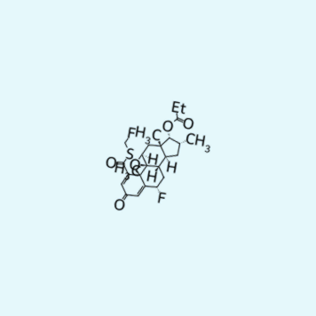 CCC(=O)O[C@@H]1[C@H](C)C[C@H]2[C@@H]3C[C@H](F)C4=CC(=O)C=C(C(=O)SCF)[C@]4(C)[C@@]34O[C@H]4C[C@]12C